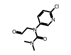 CN(C)C(=O)N(CC=O)c1ccc(Cl)nc1